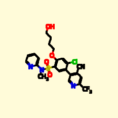 CN(c1ccccn1)S(=O)(=O)c1cc(-c2cnc(C(F)(F)F)cc2C#N)c(Cl)cc1OCCCCO